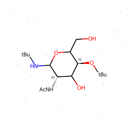 CC(=O)N[C@@H]1C(NC(C)(C)C)OC(CO)[C@@H](OC(C)(C)C)C1O